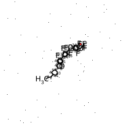 CCCC1CCC([C@@H]2COc3cc(-c4cc(F)c(C(F)(F)Oc5cc(F)c(OC(F)(F)F)c(F)c5)c(F)c4)c(F)cc3C2)CC1